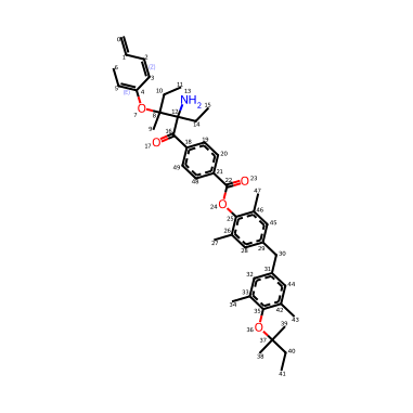 C=C/C=C\C(=C/C)OC(C)(CC)C(N)(CC)C(=O)c1ccc(C(=O)Oc2c(C)cc(Cc3cc(C)c(OC(C)(C)CC)c(C)c3)cc2C)cc1